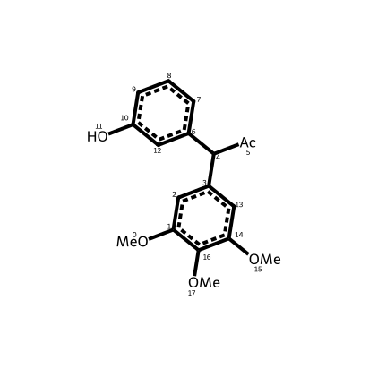 COc1cc(C(C(C)=O)c2cccc(O)c2)cc(OC)c1OC